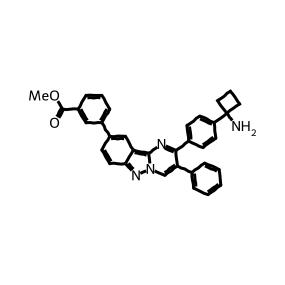 COC(=O)c1cccc(-c2ccc3nn4cc(-c5ccccc5)c(-c5ccc(C6(N)CCC6)cc5)nc4c3c2)c1